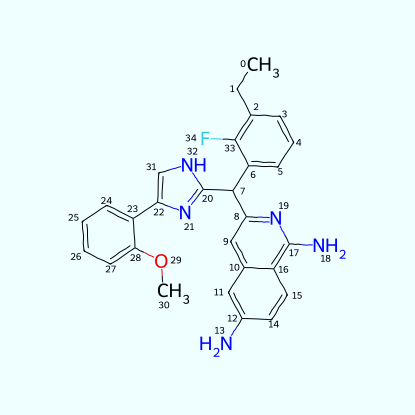 CCc1cccc(C(c2cc3cc(N)ccc3c(N)n2)c2nc(-c3ccccc3OC)c[nH]2)c1F